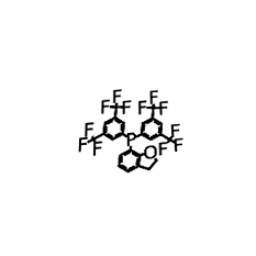 FC(F)(F)c1cc(P(c2cc(C(F)(F)F)cc(C(F)(F)F)c2)c2cccc3c2OCC3)cc(C(F)(F)F)c1